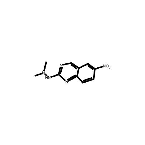 CN(C)Nc1ncc2cc([N+](=O)[O-])ccc2n1